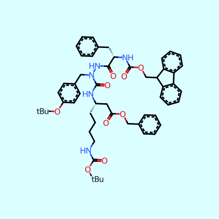 CC(C)(C)OC(=O)NCCCC[C@@H](CC(=O)OCc1ccccc1)NC(=O)N(Cc1ccc(OC(C)(C)C)cc1)NC(=O)[C@H](Cc1ccccc1)NC(=O)OCC1c2ccccc2-c2ccccc21